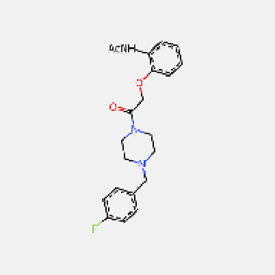 CC(=O)Nc1ccccc1OCC(=O)N1CCN(Cc2ccc(F)cc2)CC1